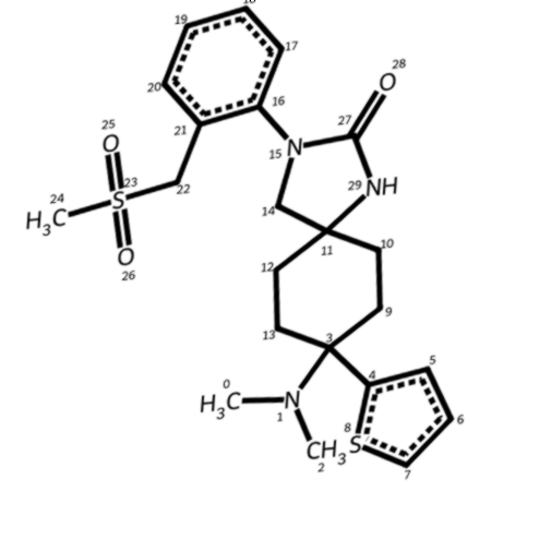 CN(C)C1(c2cccs2)CCC2(CC1)CN(c1ccccc1CS(C)(=O)=O)C(=O)N2